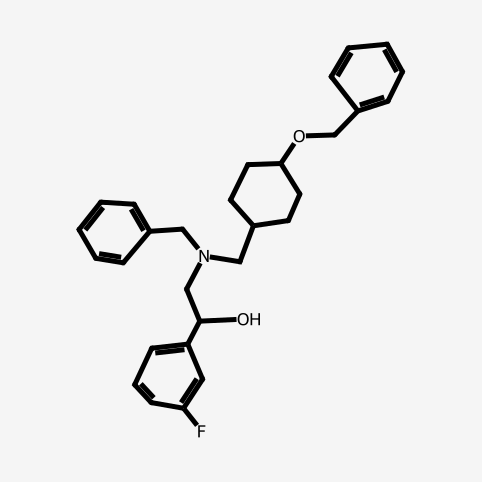 OC(CN(Cc1ccccc1)CC1CCC(OCc2ccccc2)CC1)c1cccc(F)c1